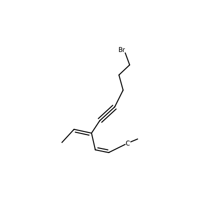 C/C=C(C#CCCCBr)\C=C/CC